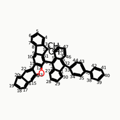 CC1(C)c2ccccc2-c2cc3c(oc4cc5ccccc5cc43)c(-c3c4ccccc4c(-c4ccc(-c5ccccc5)cc4)c4ccccc34)c21